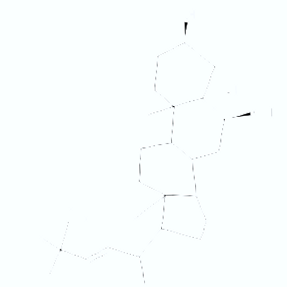 CC(/C=C/C(C)(O)C(F)(F)F)C1CCC2C3C[C@H](O)[C@@H]4C[C@H](O)CCC4(C)C3CCC12C